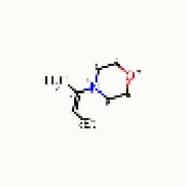 CC/C=C(/C)N1CCOCC1